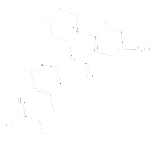 CC1Cc2cc(NC(=O)c3cc([N+](=O)[O-])ccc3N3CCOCC3)ccc2NC1=O